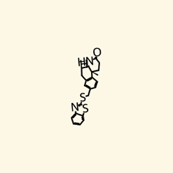 C[C@]12CCC(=O)N[C@@H]1CCc1cc(CSc3nc4ccccc4s3)ccc12